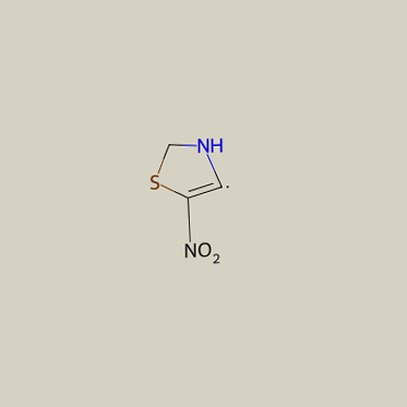 O=[N+]([O-])C1=[C]NCS1